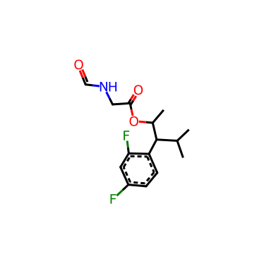 CC(C)C(c1ccc(F)cc1F)C(C)OC(=O)CNC=O